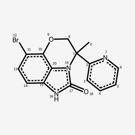 CC1(c2ccccn2)COc2c(Br)ccc3[nH]c(=O)n1c23